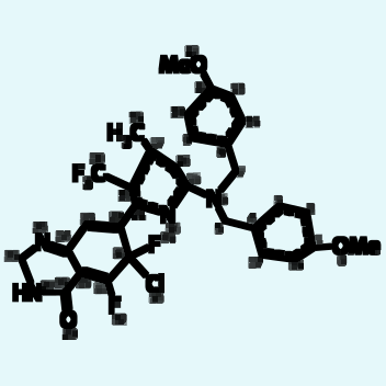 COc1ccc(CN(Cc2ccc(OC)cc2)c2cc(C)c(C(F)(F)F)c(C3=CC4=NCNC(=O)C4=C(F)C3(F)Cl)n2)cc1